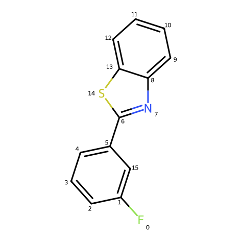 Fc1[c]ccc(-c2nc3ccccc3s2)c1